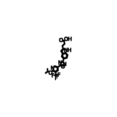 CC(C)Oc1ncc(-c2nc(-c3ccc4[nH]c(CCC(=O)O)cc4c3)no2)cc1C(F)(F)F